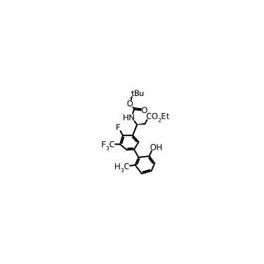 CCOC(=O)C[C@H](NC(=O)OC(C)(C)C)c1cc(-c2c(C)cccc2O)cc(C(F)(F)F)c1F